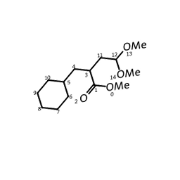 COC(=O)C(CC1CCCCC1)CC(OC)OC